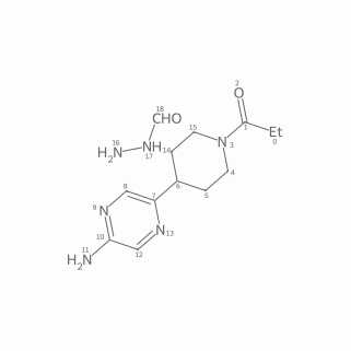 CCC(=O)N1CCC(c2cnc(N)cn2)CC1.NNC=O